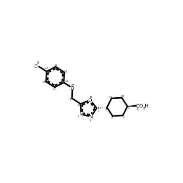 O=C(O)[C@H]1CC[C@H](c2nnc(COc3ccc(Cl)cc3)o2)CC1